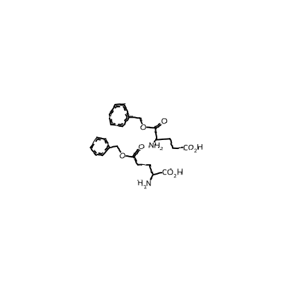 NC(CCC(=O)O)C(=O)OCc1ccccc1.NC(CCC(=O)OCc1ccccc1)C(=O)O